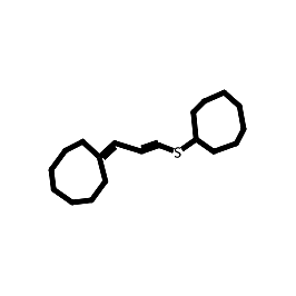 C(=CSC1CCCCCCC1)C=C1CCCCCCC1